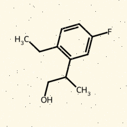 CCc1ccc(F)cc1[C](C)CO